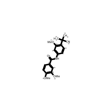 COc1ccc(C(=O)Nc2ccc(C(C)(C)C#N)c(OC)c2)cc1OC